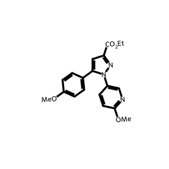 CCOC(=O)c1cc(-c2ccc(OC)cc2)n(-c2ccc(OC)nc2)n1